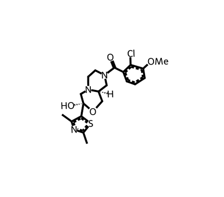 COc1cccc(C(=O)N2CCN3C[C@](O)(c4sc(C)nc4C)OC[C@@H]3C2)c1Cl